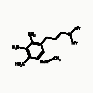 CCCN(CCC)CCCc1ccc(C(=O)O)c(N)c1N.CNC